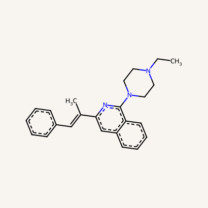 CCN1CCN(c2nc(C(C)=Cc3ccccc3)cc3ccccc23)CC1